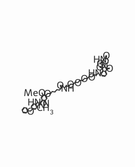 COc1cc2c(Nc3ccc(Oc4ccccc4)cc3C)ncnc2cc1OCCCCCC(=O)NCCOCCOCCOCCOCCNc1cccc2c1C(=O)N(C1CCC(=O)NC1=O)C2=O